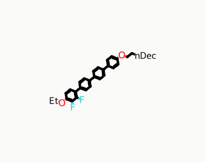 CCCCCCCCCCCCOc1ccc(-c2ccc(-c3ccc(-c4ccc(OCC)c(F)c4F)cc3)cc2)cc1